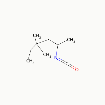 CCC(C)(C)CC(C)N=C=O